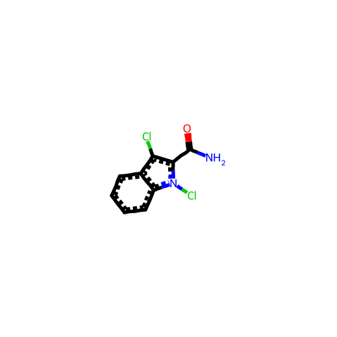 NC(=O)c1c(Cl)c2ccccc2n1Cl